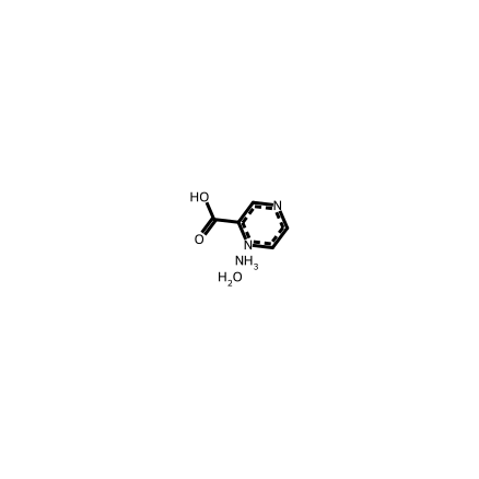 N.O.O=C(O)c1cnccn1